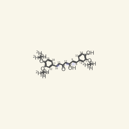 [2H]C([2H])([2H])Oc1cc(/C=C/C(O)=C/C(=O)/C=C/c2ccc(OC([2H])([2H])[2H])c(OC([2H])([2H])[2H])c2)ccc1O